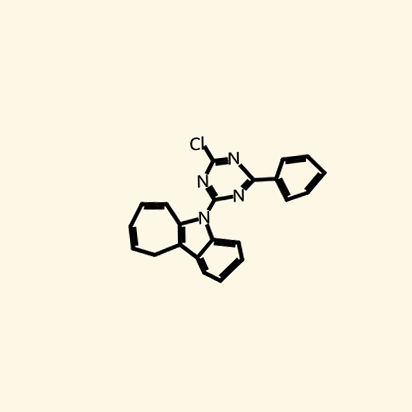 Clc1nc(-c2ccccc2)nc(-n2c3c(c4ccccc42)CC=CC=C3)n1